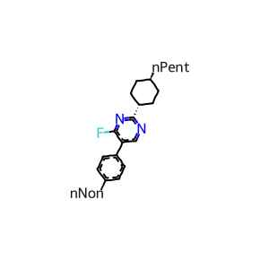 CCCCCCCCCc1ccc(-c2cnc([C@H]3CC[C@H](CCCCC)CC3)nc2F)cc1